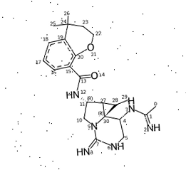 CC(=N)NC1CNC(=N)N2C[C@H](NC(=O)c3cccc4c3OCCC4(C)C)C3C(C)[C@]132